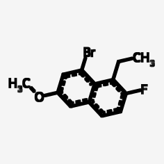 CCc1c(F)ccc2cc(OC)cc(Br)c12